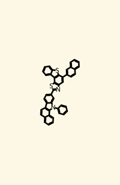 c1ccc(-n2c3cc(-c4nc5cc(-c6ccc7ccccc7c6)c6sc7ccccc7c6c5s4)ccc3c3ccc4ccccc4c32)cc1